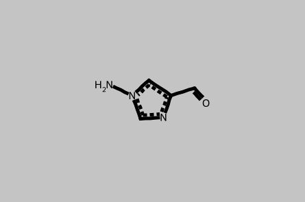 Nn1cnc(C=O)c1